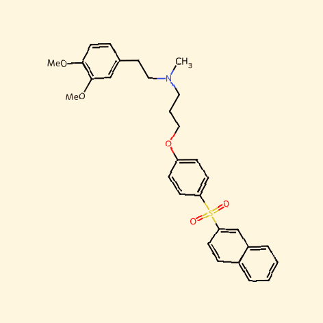 COc1ccc(CCN(C)CCCOc2ccc(S(=O)(=O)c3ccc4ccccc4c3)cc2)cc1OC